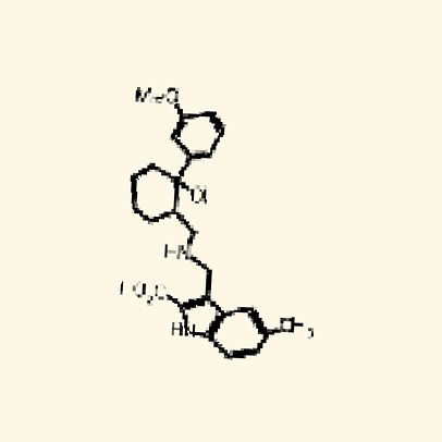 COc1cccc(C2(O)CCCCC2CNCc2c(C(=O)O)[nH]c3ccc(C)cc23)c1